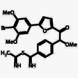 COc1cc(-c2ccc(C(=O)C(OC)c3ccc(C(=N)SC(C)=N)cc3)o2)cc(OC)c1Br